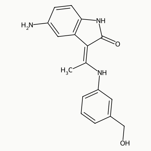 C/C(Nc1cccc(CO)c1)=C1/C(=O)Nc2ccc(N)cc21